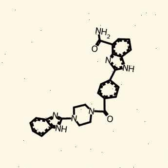 NC(=O)c1cccc2[nH]c(-c3ccc(C(=O)N4CCN(c5nc6ccccc6[nH]5)CC4)cc3)nc12